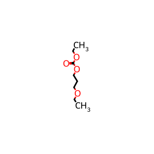 CCOCCCOC(=O)OCC